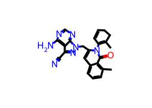 CC1=C(n2c(Cn3nc(C#N)c4c(N)ncnc43)cc3cccc(C)c3c2=O)C=CCC1